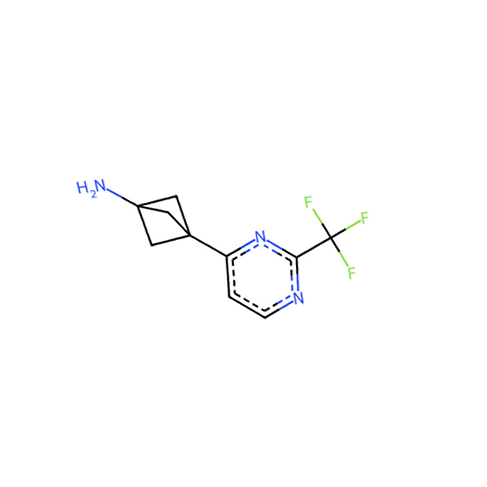 NC12CC(c3ccnc(C(F)(F)F)n3)(C1)C2